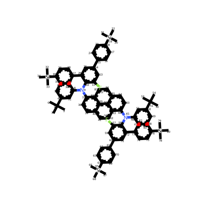 CC(C)(C)c1cccc(N(c2c(F)cc(-c3ccc([Si](C)(C)C)cc3)cc2-c2ccc([Si](C)(C)C)cc2)c2ccc3ccc4c(N(c5cccc(C(C)(C)C)c5)c5c(F)cc(-c6ccc([Si](C)(C)C)cc6)cc5-c5ccc([Si](C)(C)C)cc5)ccc5ccc2c3c54)c1